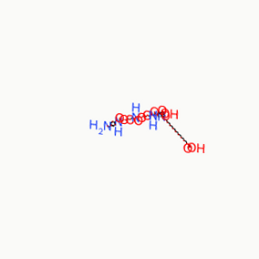 NCc1ccc(CNC(=O)COCCOCCNC(=O)COCCOCCNC(=O)CC[C@H](NC(=O)CCCCCCCCCCCCCCCCCCC(=O)O)C(=O)O)cc1